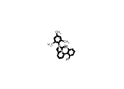 Cc1cc(C)c(-n2cc3cccc(-c4c(C(C)C)cccc4C(C)C)n3c2=[Se])c(C)c1